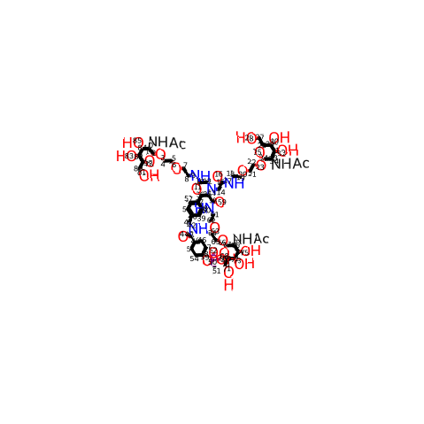 CC(=O)NC1C(OCCOCCNC(=O)CN(CC(=O)NCCOCCOC2OC(CO)C(O)C(O)C2NC(C)=O)C(Cc2ccc(CNC(=O)[C@H]3CC[C@@H](OP(C)(=O)O)CC3)cc2)C(=O)NCCOCCOC2OC(CO)C(O)C(O)C2NC(C)=O)OC(CO)C(O)C1O